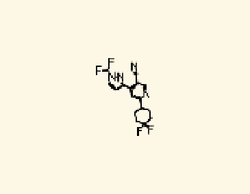 N#Cc1cnc(C2CCC(F)(F)CC2)cc1-c1ccn(C(F)F)n1